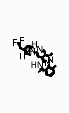 Cc1cccc([C@@H](C)Nc2nnc(C)c3cnc(N4C[C@H]5CC[C@@H]4CN5CC(F)F)cc23)c1C